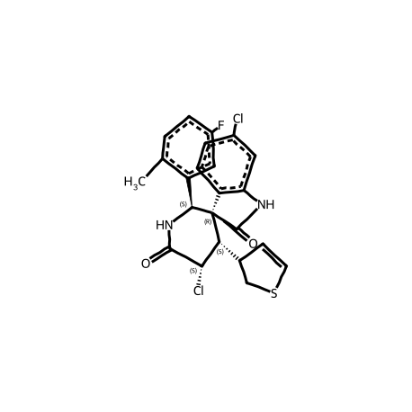 Cc1ccc(F)cc1[C@@H]1NC(=O)[C@@H](Cl)[C@@H](C2C=CSC2)[C@]12C(=O)Nc1cc(Cl)ccc12